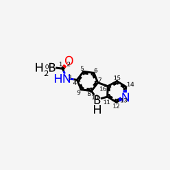 BC(=O)Nc1ccc2c(c1)Bc1cnccc1-2